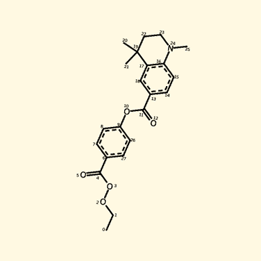 CCOOC(=O)c1ccc(OC(=O)c2ccc3c(c2)C(C)(C)CCN3C)cc1